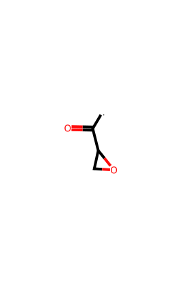 [CH2]C(=O)C1CO1